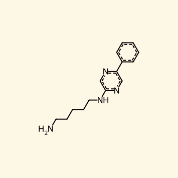 NCCCCCNc1cnc(-c2ccccc2)cn1